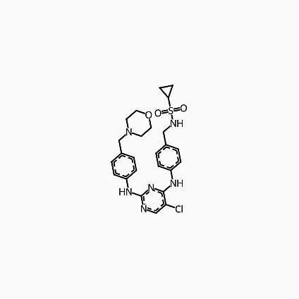 O=S(=O)(NCc1ccc(Nc2nc(Nc3ccc(CN4CCOCC4)cc3)ncc2Cl)cc1)C1CC1